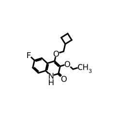 CCOc1c(OCC2CCC2)c2cc(F)ccc2[nH]c1=O